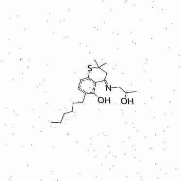 CCCCCCc1ccc2c(c1O)C(=NCC(C)O)CC(C)(C)S2